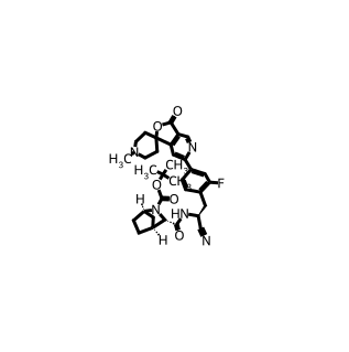 CN1CCC2(CC1)OC(=O)c1cnc(-c3ccc(C[C@@H](C#N)NC(=O)[C@@H]4[C@H]5CC[C@H](C5)N4C(=O)OC(C)(C)C)c(F)c3)cc12